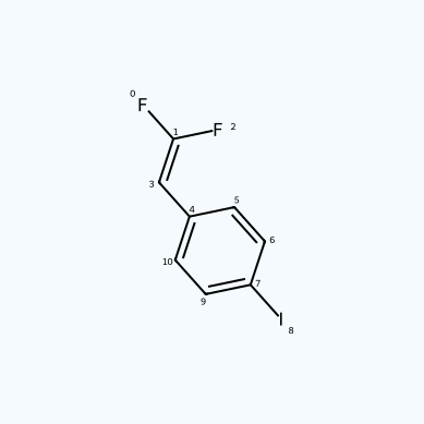 FC(F)=Cc1ccc(I)cc1